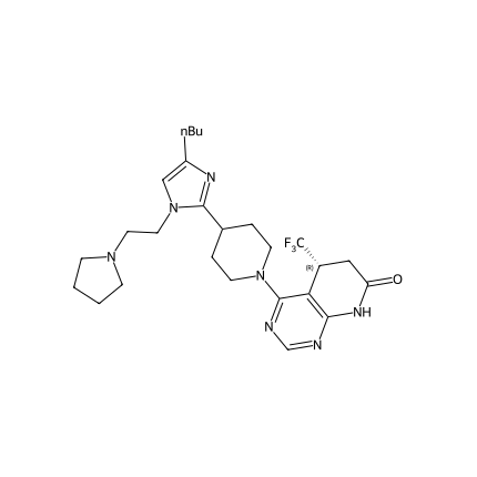 CCCCc1cn(CCN2CCCC2)c(C2CCN(c3ncnc4c3[C@H](C(F)(F)F)CC(=O)N4)CC2)n1